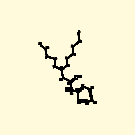 CCCCCCC(CCCCC)CC(=O)Nc1ccccc1